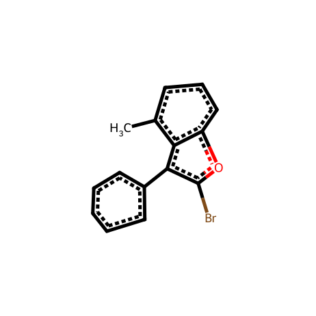 Cc1cccc2oc(Br)c(-c3ccccc3)c12